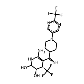 N=C(C1=C(N)NC(O)[C@H](O)[C@@H]1C(F)(F)F)C1CCN(c2cnc(C(F)(F)F)nc2)CC1